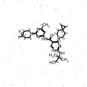 Cc1cc(NC(=O)c2cnc(NC(C)(C)CO)nc2N2CCC3(CC2)CC3)nc(N2CCC(F)(F)CC2)n1